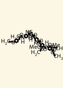 C=CCOC(=O)c1ccc(NC(=O)c2ccc(NC(=O)c3ccc(NC(=O)[C@H](CC#N)NC(=O)c4ccc(NC(=O)C(C)=Cc5ccc(OCC=C)cc5)cc4)cn3)c(OC)c2OCC=C)c(OC)c1OCC=C